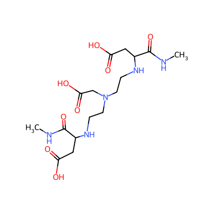 CNC(=O)C(CC(=O)O)NCCN(CCNC(CC(=O)O)C(=O)NC)CC(=O)O